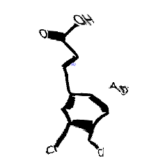 O=C(O)/C=C/c1ccc(Cl)c(Cl)c1.[Ag]